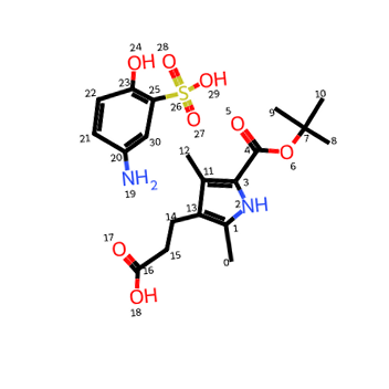 Cc1[nH]c(C(=O)OC(C)(C)C)c(C)c1CCC(=O)O.Nc1ccc(O)c(S(=O)(=O)O)c1